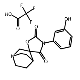 O=C(O)C(F)(F)F.O=C1OC2(CN3CCC2CC3)C(=O)N1c1cccc(O)c1